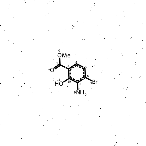 COC(=O)c1ccc(Br)c(N)c1O